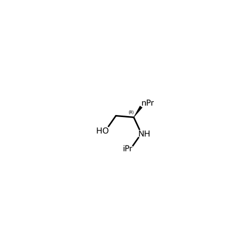 CCC[C@H](CO)NC(C)C